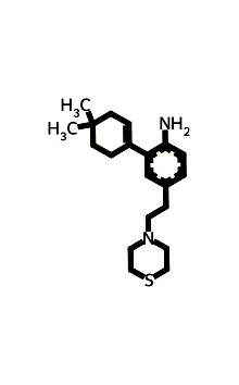 CC1(C)CC=C(c2cc(CCN3CCSCC3)ccc2N)CC1